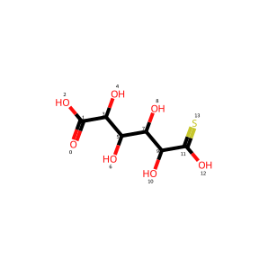 O=C(O)C(O)C(O)C(O)C(O)C(O)=S